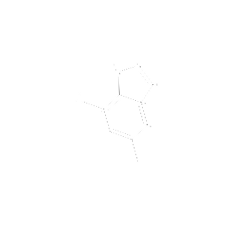 Cc1cc(Cl)c2[nH]ncc2c1